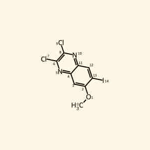 COc1cc2nc(Cl)c(Cl)nc2cc1I